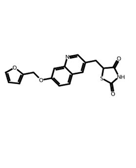 O=C1NC(=O)C(Cc2cnc3cc(OCc4ccco4)ccc3c2)S1